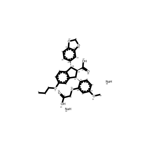 CCCOc1ccc2c(c1)[C@@H](c1ccc(OC)cc1OCC(=O)O)[C@H](C(=O)O)[C@H]2c1ccc2c(c1)OCO2.[NaH].[NaH]